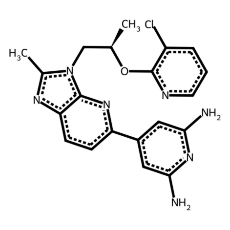 Cc1nc2ccc(-c3cc(N)nc(N)c3)nc2n1C[C@@H](C)Oc1ncccc1Cl